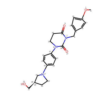 COc1ccc(CN2C(=O)CCN(c3ccc(N4CC[C@@H](CO)C4)cc3)C2=O)cc1